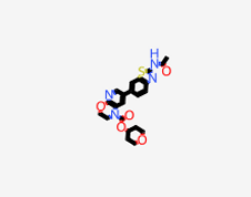 CC(=O)Nc1nc2ccc(-c3cnc4c(c3)N(C(=O)OC3CCOCC3)CCO4)cc2s1